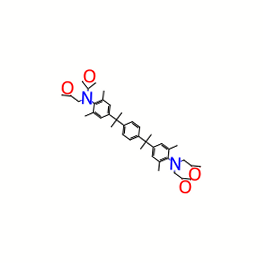 Cc1cc(C(C)(C)c2ccc(C(C)(C)c3cc(C)c(N(CC4CO4)C4COC4)c(C)c3)cc2)cc(C)c1N(CC1CO1)CC1CO1